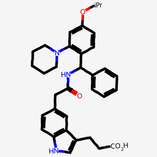 CC(C)Oc1ccc(C(NC(=O)Cc2ccc3[nH]cc(CCC(=O)O)c3c2)c2ccccc2)c(N2CCCCC2)c1